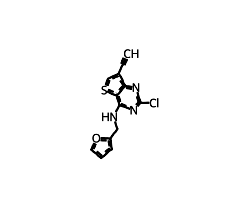 C#Cc1csc2c(NCc3ccco3)nc(Cl)nc12